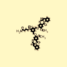 COc1cc2c(cc1OCc1cc(COc3cc4c(cc3OC)C(=O)N3c5ccccc5C[C@H]3C=N4)cc(N(C)CCCC(N)=O)c1)N=C[C@@H]1Cc3ccccc3N1C2=O